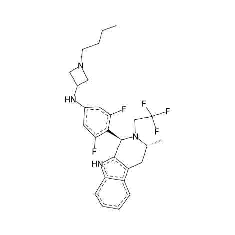 CCCCN1CC(Nc2cc(F)c([C@@H]3c4[nH]c5ccccc5c4C[C@@H](C)N3CC(F)(F)F)c(F)c2)C1